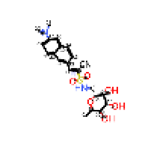 CC1O[C@H](CNS(=O)(=O)/C(C#N)=C/c2ccc3cc(N(C)C)ccc3c2)[C@@H](O)[C@H](O)[C@H]1O